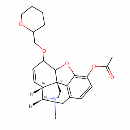 CC(=O)Oc1ccc2c3c1OC1C(OCC4CCCCO4)C=C[C@H]4[C@@H](C2)N(C)CC[C@]314